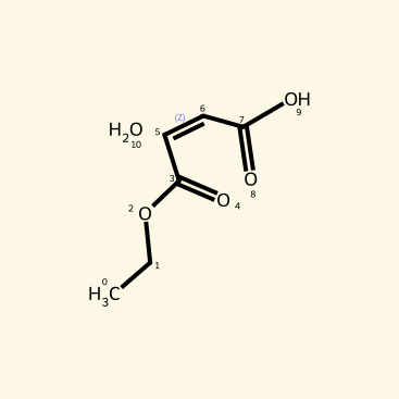 CCOC(=O)/C=C\C(=O)O.O